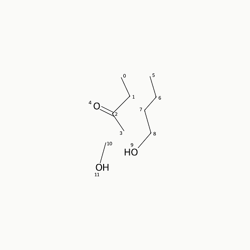 CCC(C)=O.CCCCO.CO